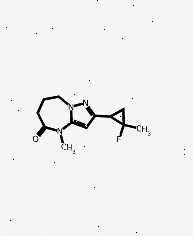 CN1C(=O)CCCn2nc(C3CC3(C)F)cc21